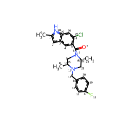 Cc1cc2cc(C(=O)N3C[C@H](C)N(Cc4ccc(F)cc4)C[C@H]3C)c(Cl)cc2[nH]1